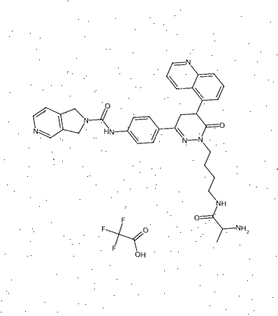 CC(N)C(=O)NCCCCN1N=C(c2ccc(NC(=O)N3Cc4ccncc4C3)cc2)CC(c2cccc3ncccc23)C1=O.O=C(O)C(F)(F)F